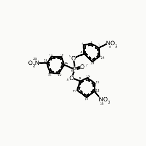 O=[N+]([O-])c1ccc(OP(=O)(Oc2ccc([N+](=O)[O-])cc2)c2ccc([N+](=O)[O-])cc2)cc1